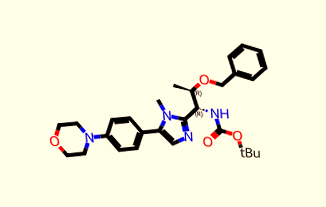 C[C@@H](OCc1ccccc1)[C@H](NC(=O)OC(C)(C)C)c1ncc(-c2ccc(N3CCOCC3)cc2)n1C